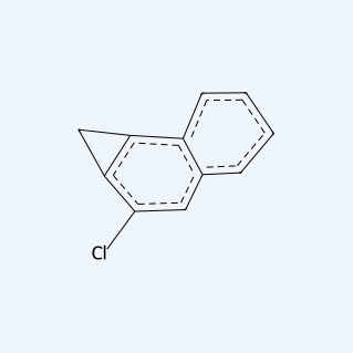 Clc1cc2ccccc2c2c1C2